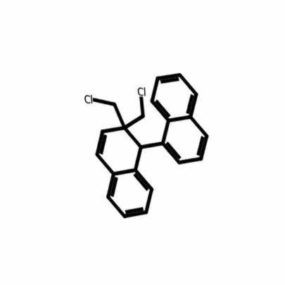 ClCC1(CCl)C=Cc2ccccc2C1c1cccc2ccccc12